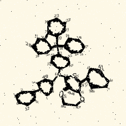 c1ccc(-c2ccc(N(c3ccc(C4(c5ccccc5)c5ccccc5-c5ccccc54)cc3)c3sc(-c4ccccc4)c4c3OCCO4)cc2)cc1